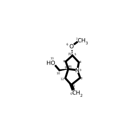 C=C1CN2C[C@@H](OC)C[C@@]2(CO)C1